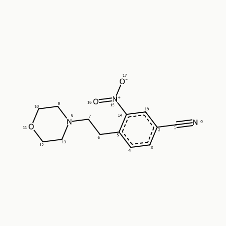 N#Cc1ccc(CCN2CCOCC2)c([N+](=O)[O-])c1